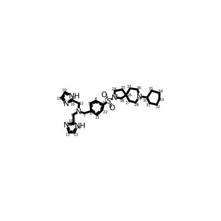 O=S(=O)(c1ccc(CN(Cc2ncc[nH]2)Cc2ncc[nH]2)cc1)N1CCC2(CCN(C3CCCCC3)CC2)C1